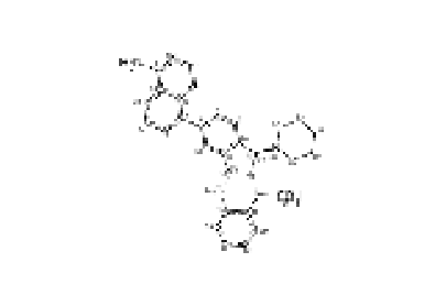 Nc1nccc2c(-c3ccc4c(c3)[C@@H](Oc3ccccc3CC(=O)O)C[C@@H]4N3CCCCC3)cccc12